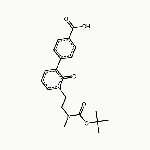 CN(CCn1cccc(-c2ccc(C(=O)O)cc2)c1=O)C(=O)OC(C)(C)C